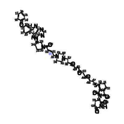 Nc1ncnc2c1c(-c1ccc(Oc3ccccc3)cc1)nn2[C@@H]1CCCN(C(=O)/C=C/CN2CCN(CCOCCOCCOCCSc3cccc4c3C(=O)N(C3CCC(=O)NC3=O)C4=O)CC2)C1